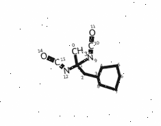 CC(CC1CCCCC1)(N=C=O)N=C=O